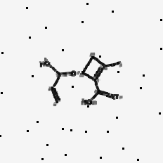 C=CC(=O)O.CC1=C(C(=O)O)CC1